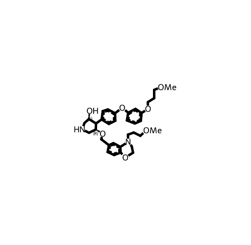 COCCCOc1cccc(Oc2ccc(C3[C@H](O)CNC[C@@H]3OCc3ccc4c(c3)N(CCCOC)CCO4)cc2)c1